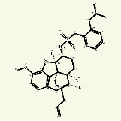 C=CCN1CC[C@]23c4c5ccc(OC)c4O[C@H]2[C@@H](NS(=O)(=O)Cc2ccccc2CC(C)C)CC[C@@]3(O)[C@H]1C5